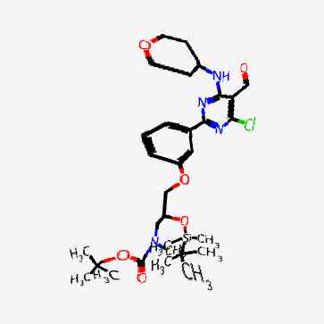 CN(CC(COc1cccc(-c2nc(Cl)c(C=O)c(NC3CCOCC3)n2)c1)O[Si](C)(C)C(C)(C)C)C(=O)OC(C)(C)C